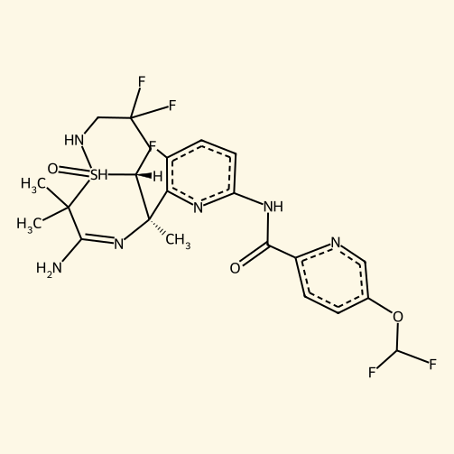 CC1(C)C(N)=N[C@](C)(c2nc(NC(=O)c3ccc(OC(F)F)cn3)ccc2F)[C@H]2CC(F)(F)CN[SH]21=O